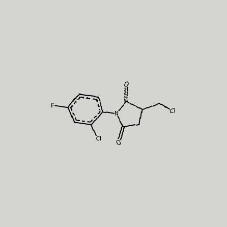 O=C1CC(CCl)C(=O)N1c1ccc(F)cc1Cl